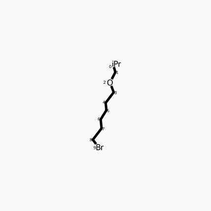 CC(C)COCCCCCCBr